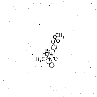 COC(=O)Oc1ccc(C[C@H](N)C(=O)N2CC(C)Cc3ccccc32)c(Br)c1